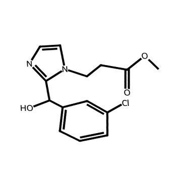 COC(=O)CCn1ccnc1C(O)c1cccc(Cl)c1